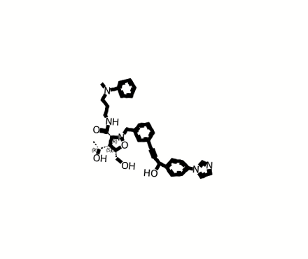 C[C@@H](O)[C@H]1[C@@H](CO)ON(Cc2cccc(C#CC(O)c3ccc(-n4ccnc4)cc3)c2)[C@H]1C(=O)NCCCN(C)c1ccccc1